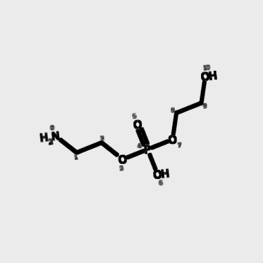 NCCOP(=O)(O)OCCO